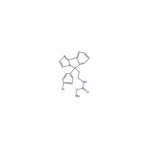 CC(C)(C)OC(=O)NCCC1(c2ccc(Br)cc2)c2ccccc2-c2nccn21